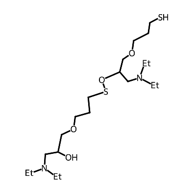 CCN(CC)CC(O)COCCCSOC(COCCCS)CN(CC)CC